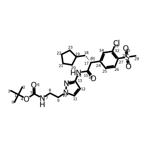 CC(C)(C)OC(=O)NCCn1ccc(NC(=O)[C@H](CC2CCCC2)c2ccc(S(C)(=O)=O)c(Cl)c2)n1